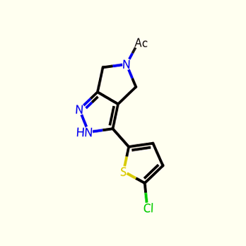 CC(=O)N1Cc2n[nH]c(-c3ccc(Cl)s3)c2C1